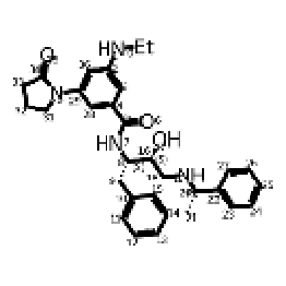 CCNc1cc(C(=O)N[C@@H](Cc2ccccc2)[C@@H](O)CN[C@@H](C)c2ccccc2)cc(N2CCCC2=O)c1